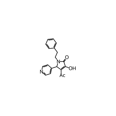 CC(=O)C1=C(O)C(=O)N(CCc2ccccc2)C1c1ccncc1